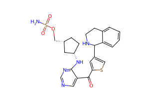 NS(=O)(=O)OC[C@@H]1CC[C@H](Nc2ncncc2C(=O)c2cc(C3NCCc4ccccc43)cs2)C1